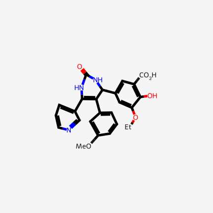 CCOc1cc(C2NC(=O)NC(c3cccnc3)=C2c2cccc(OC)c2)cc(C(=O)O)c1O